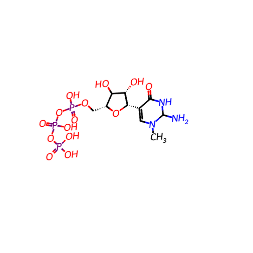 CN1C=C([C@@H]2O[C@H](COP(=O)(O)OP(=O)(O)OP(=O)(O)O)C(O)[C@@H]2O)C(=O)NC1N